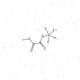 COC(=O)C(=O)OP(F)(F)(F)F